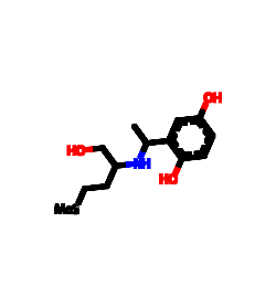 CSCCC(CO)NC(C)c1cc(O)ccc1O